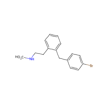 O=C(O)NCCc1ccccc1Cc1ccc(Br)cc1